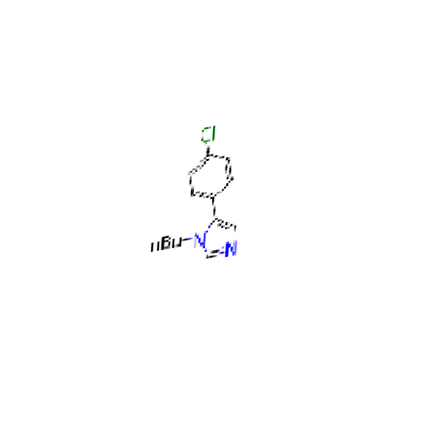 CCCCn1cncc1-c1ccc(Cl)cc1